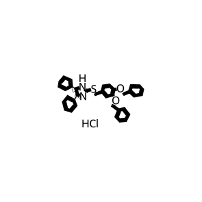 Cl.c1ccc(COc2ccc(CSC3=N[C@H](c4ccccc4)[C@H](c4ccccc4)N3)cc2OCc2ccccc2)cc1